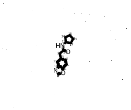 O=C(Cc1ccc2ocnc2c1)NC1CCCC1